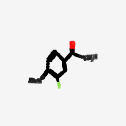 CSc1ccc(C(=O)C(=O)O)cc1F